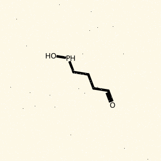 O=CCCCPO